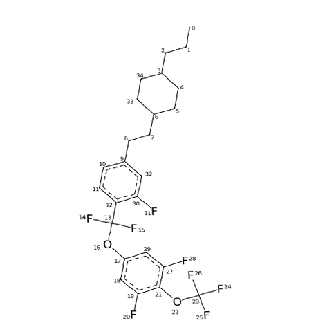 CCCC1CCC(CCc2ccc(C(F)(F)Oc3cc(F)c(OC(F)(F)F)c(F)c3)c(F)c2)CC1